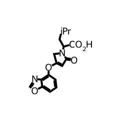 CC(C)CC(C(=O)O)N1CC(Oc2cccc3ocnc23)=CC1=O